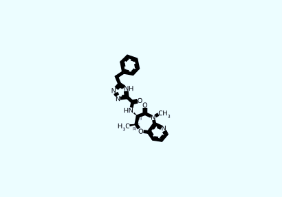 C[C@@H]1Oc2cccnc2N(C)C(=O)[C@H]1NC(=O)c1nnc(Cc2ccccc2)[nH]1